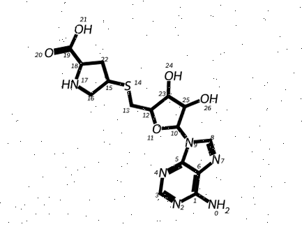 Nc1ncnc2c1ncn2C1OC(CSC2CNC(C(=O)O)C2)C(O)C1O